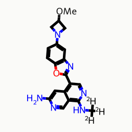 [2H]C([2H])([2H])Nc1ncc(-c2nc3cc(N4CC(OC)C4)ccc3o2)c2cc(N)ncc12